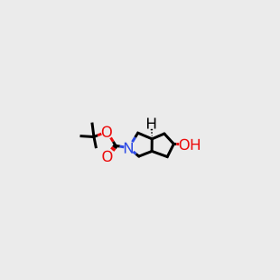 CC(C)(C)OC(=O)N1CC2CC(O)C[C@@H]2C1